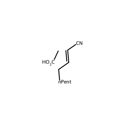 CC(=O)O.CCCCCCC=CC#N